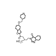 O=C(CC(CCn1nnc2ccccc2c1=O)C(=O)O)c1cc2cc(OCc3ccncc3)ccc2o1